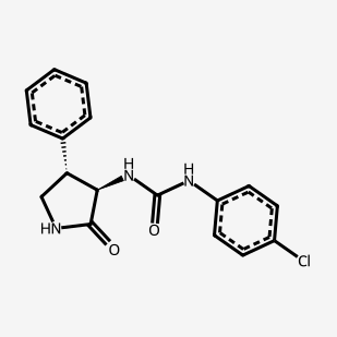 O=C(Nc1ccc(Cl)cc1)N[C@H]1C(=O)NC[C@@H]1c1ccccc1